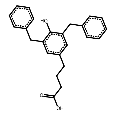 O=C(O)CCCc1cc(Cc2ccccc2)c(O)c(Cc2ccccc2)c1